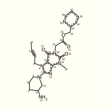 CC#CCn1c(N2CCCC(N)C2)nc2c1c(=O)n(CC(=O)OCc1ccccn1)c(=O)n2C